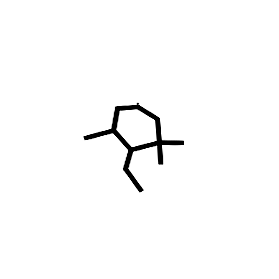 CCC1C(C)C[CH]CC1(C)C